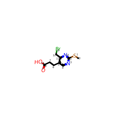 CSc1ncc(CCC(=O)O)c(CBr)n1